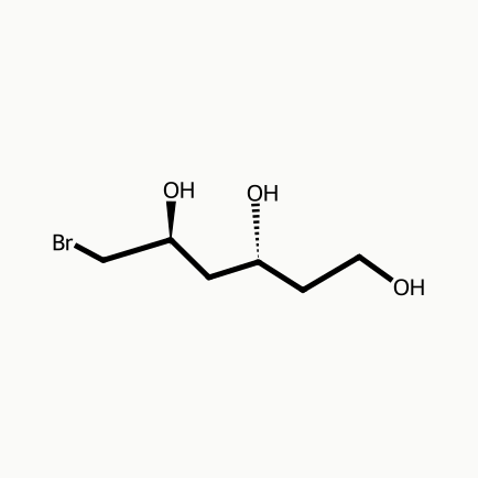 OCC[C@@H](O)C[C@H](O)CBr